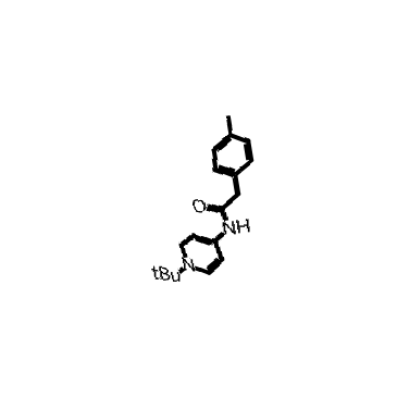 Cc1ccc(CC(=O)NC2=CCN(C(C)(C)C)C=C2)cc1